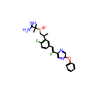 CC(C[S+]([O-])C(C)(C)C(=N)N)c1cc(/C=C(\F)c2cnc(Oc3ccccc3)cn2)ccc1F